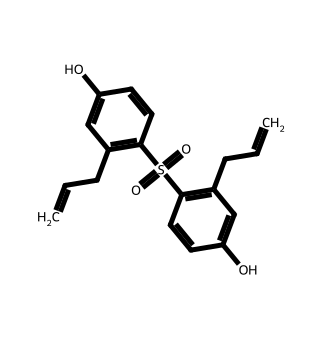 C=CCc1cc(O)ccc1S(=O)(=O)c1ccc(O)cc1CC=C